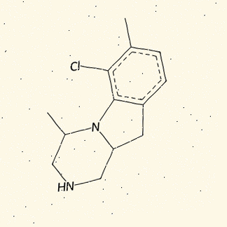 Cc1ccc2c(c1Cl)N1C(C)CNCC1C2